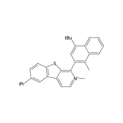 Cc1c(-c2c3sc4ccc(C(C)C)cc4c3cc[n+]2C)cc(C(C)(C)C)c2ccccc12